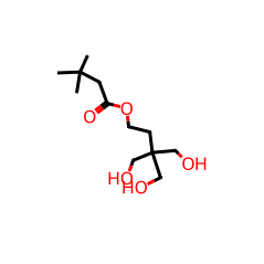 CC(C)(C)CC(=O)OCCC(CO)(CO)CO